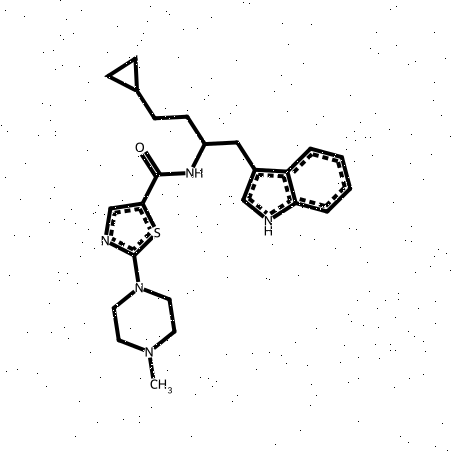 CN1CCN(c2ncc(C(=O)NC(CCC3CC3)Cc3c[nH]c4ccccc34)s2)CC1